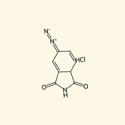 Cl.[N-]=[N+]=C1C=CC2C(=O)NC(=O)C2=C1